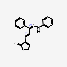 O=C1C=CC=C1/C=C/C(=N\Nc1ccccc1)c1ccccc1